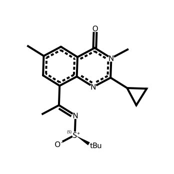 CC(=N[S@+]([O-])C(C)(C)C)c1cc(C)cc2c(=O)n(C)c(C3CC3)nc12